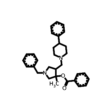 CC1(OC(=O)c2ccccc2)CN(Cc2ccccc2)CC1CN1CCC(c2ccccc2)CC1